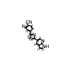 N#Cc1ccc(-c2nc(-c3cnc4[nH]ccc4c3)no2)cc1F